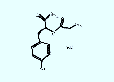 Cl.NCC(=O)N[C@@H](Cc1ccc(O)cc1)C(N)=O